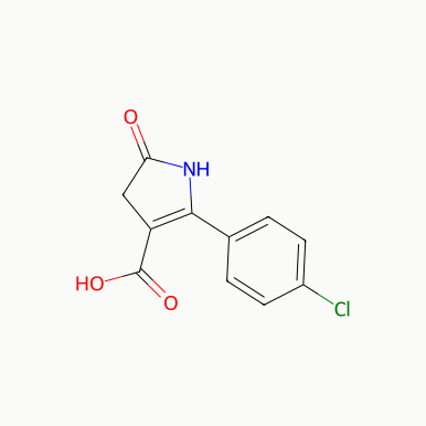 O=C1CC(C(=O)O)=C(c2ccc(Cl)cc2)N1